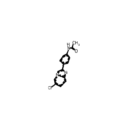 CC(=O)Nc1ccc(-c2cn3cc(Cl)ccc3n2)cc1